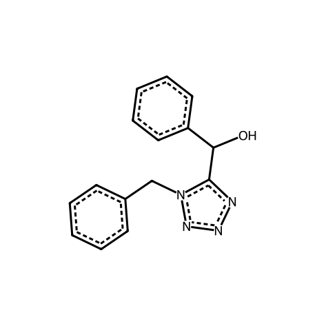 OC(c1ccccc1)c1nnnn1Cc1ccccc1